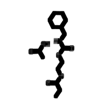 CC(=O)O.CCC(=O)OCCOC(=O)NCC1CCCCC1